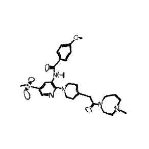 COc1ccc(C(=O)Nc2cc(S(C)(=O)=O)cnc2N2CCC(CC(=O)N3CCCN(C)CC3)CC2)cc1